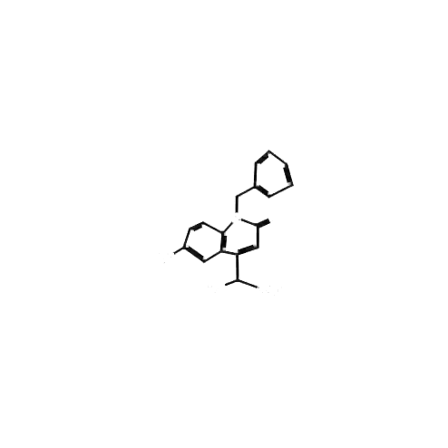 CC(C(=O)O)c1cc(=O)n(Cc2ccccc2)c2ccc([N+](=O)[O-])cc12